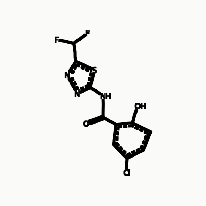 O=C(Nc1nnc(C(F)F)s1)c1cc(Cl)ccc1O